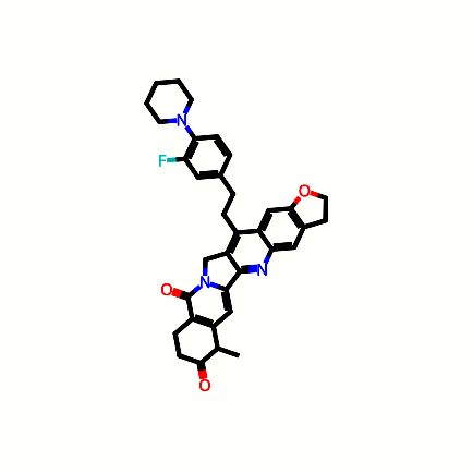 CC1C(=O)CCc2c1cc1n(c2=O)Cc2c-1nc1cc3c(cc1c2CCc1ccc(N2CCCCC2)c(F)c1)OCC3